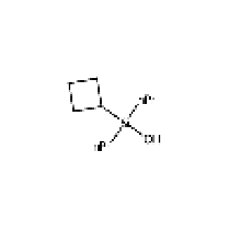 CCC[Si](O)(CCC)C1CCC1